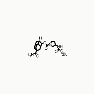 CC(C)(C)OC(=O)NC1CCN(C(=O)OC2C3CC4C[C@@H]2CC(C(N)=O)(C4)C3)C1